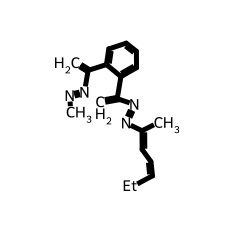 C=C(/N=N/C)c1ccccc1C(=C)/N=N/C(C)=C/C=C\CC